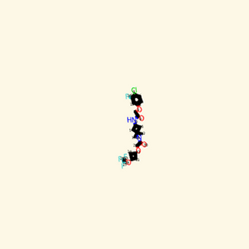 O=C(COc1ccc(Cl)c(F)c1)NC1CC2(C1)CN(C(=O)CO[C@H]1C[C@@H](OC(F)(F)F)C1)C2